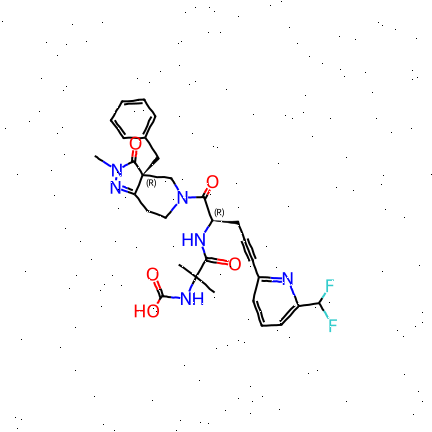 CN1N=C2CCN(C(=O)[C@@H](CC#Cc3cccc(C(F)F)n3)NC(=O)C(C)(C)NC(=O)O)C[C@@]2(Cc2ccccc2)C1=O